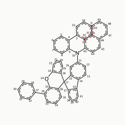 c1ccc(-c2ccccc2N(c2ccc3c(c2)C2(c4ccccc4Oc4c(-c5ccccc5)cccc42)c2ccccc2-3)c2ccc3ccccc3c2)cc1